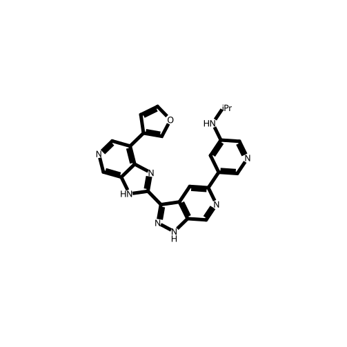 CC(C)Nc1cncc(-c2cc3c(-c4nc5c(-c6ccoc6)cncc5[nH]4)n[nH]c3cn2)c1